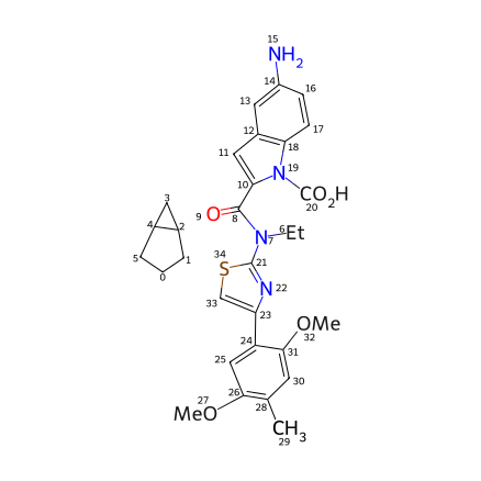 C1CC2CC2C1.CCN(C(=O)c1cc2cc(N)ccc2n1C(=O)O)c1nc(-c2cc(OC)c(C)cc2OC)cs1